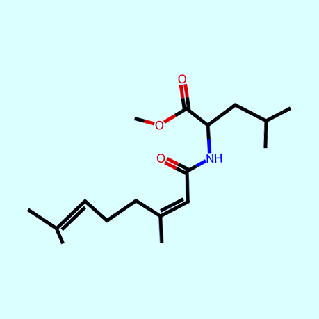 COC(=O)C(CC(C)C)NC(=O)C=C(C)CCC=C(C)C